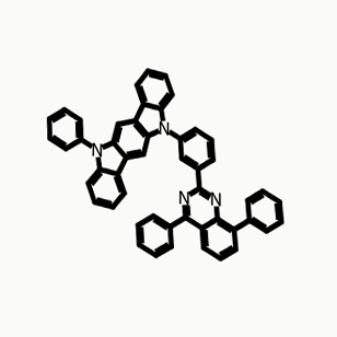 c1ccc(-c2nc(-c3cccc(-n4c5ccccc5c5cc6c(cc54)c4ccccc4n6-c4ccccc4)c3)nc3c(-c4ccccc4)cccc23)cc1